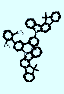 CC1(C)c2ccccc2-c2ccc3c(c21)c1ccccc1n3-c1ccc(C#N)c(-c2cc(-c3c(C(F)(F)F)cccc3C(F)(F)F)ccc2-n2c3ccccc3c3c4c(ccc32)-c2ccccc2C4(C)C)c1